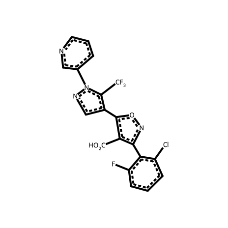 O=C(O)c1c(-c2c(F)cccc2Cl)noc1-c1cnn(-c2cccnc2)c1C(F)(F)F